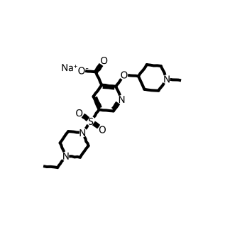 CCN1CCN(S(=O)(=O)c2cnc(OC3CCN(C)CC3)c(C(=O)[O-])c2)CC1.[Na+]